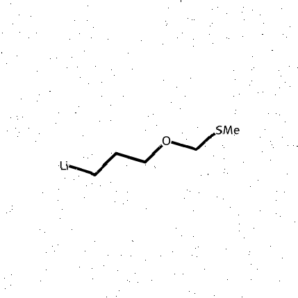 [Li][CH2]CCOCSC